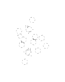 c1ccc(-c2nc(-c3ccccc3)nc(-c3cccc4c3-c3cc(-c5ccc6oc7cccc(-c8nc(-c9ccccc9)nc(-c9ccccc9)n8)c7c6c5)ccc3C4(c3ccccc3)c3ccccc3)n2)cc1